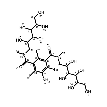 CN(CC(O)C(O)C(O)C(O)CO)C(=O)c1c(I)c(N)c(I)c(C(=O)N(C)CC(O)C(O)C(O)C(O)CO)c1I